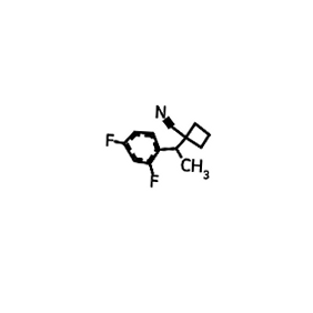 CC(c1ccc(F)cc1F)C1(C#N)CCC1